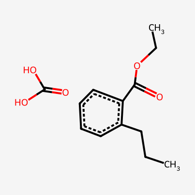 CCCc1ccccc1C(=O)OCC.O=C(O)O